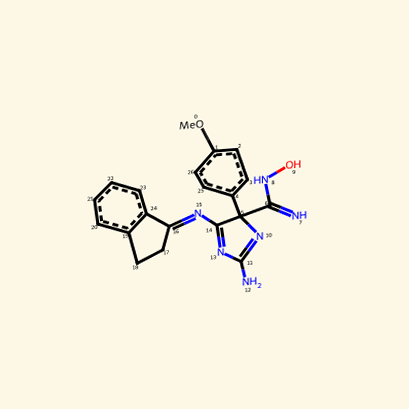 COc1ccc(C2(C(=N)NO)N=C(N)N=C2N=C2CCc3ccccc32)cc1